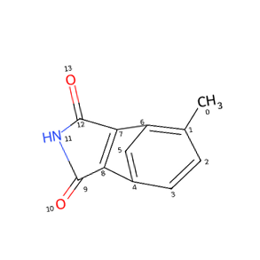 Cc1ccc2cc1C1=C2C(=O)NC1=O